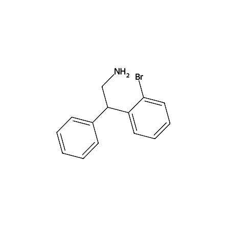 NCC(c1ccccc1)c1ccccc1Br